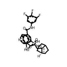 O=C(Nc1cc(F)c(F)c(F)c1)c1ccc(Cl)c(S(=O)(=O)[C@@H]2CC3CC[C@@H](C2)[C@@]3(O)CC(O)C(O)c2cccnc2)c1